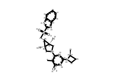 Cc1c(N2C[C@@H]3[C@H](C2)[C@H]3CS(=O)(=O)c2nc3ccccc3s2)nc(N2CC[C@@H]2C)nc1C(F)(F)F